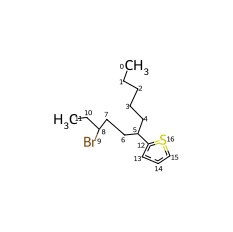 CCCCCC(CCC(Br)CC)c1cccs1